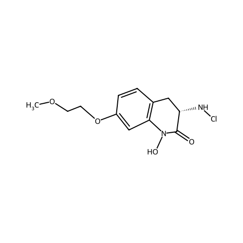 COCCOc1ccc2c(c1)N(O)C(=O)[C@@H](NCl)C2